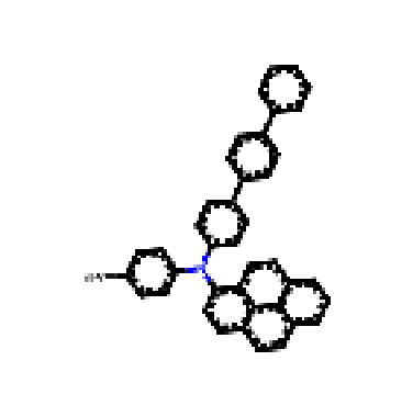 CCCc1ccc(N(c2ccc(-c3ccc(-c4ccccc4)cc3)cc2)c2ccc3ccc4cccc5ccc2c3c45)cc1